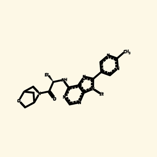 CC[C@H](Nc1ncnc2c1nc(-c1cnc(C)nc1)n2CC)C(=O)N1CC2CC1CO2